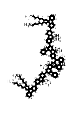 CCCCCCCCC1(CCCCCCCC)c2ccccc2-c2ccc(C3=CC4C(C=C3)c3ccc(-c5cc6c(c7c5oc5ccccc57)-c5ccc(C(c7ccc8c(c7)C(C)(C)c7cc(-c9ccc%10c(c9)C(C)(C)c9cc(-c%11ccc%12c(c%11)C(CCCCCCCC)(CCCCCCCC)c%11ccccc%11-%12)ccc9-%10)c9oc%10ccccc%10c9c7-8)c7cccc8oc9ccccc9c78)cc5C6(C)C)cc3C4(C)C)cc21